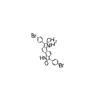 C=c1[nH]c2c(ccc3c4c(ccc32)=C(c2ccc(Br)cc2)C(=O)N4)c1-c1ccc(Br)cc1